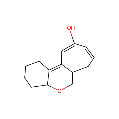 OC1=CC2=C3CCCCC3OCC2CC=C1